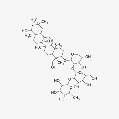 CC1OC(OC2C(OC3C(OC4CCC5(C)C(CCC6(C)C5CC=C5C7CC(C)(C)CC(O)C7(C)CCC56C)C4(C)CO)OCC(O)C3O)OC(CO)C(O)C2O)C(O)C(O)C1O